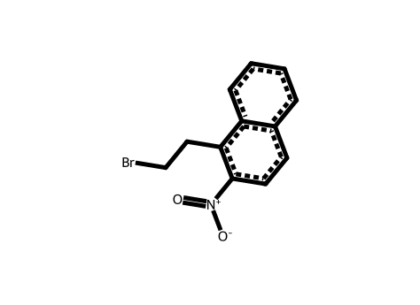 O=[N+]([O-])c1ccc2ccccc2c1CCBr